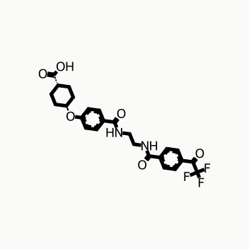 O=C(NCCNC(=O)c1ccc(C(=O)C(F)(F)F)cc1)c1ccc(O[C@H]2CC[C@@H](C(=O)O)CC2)cc1